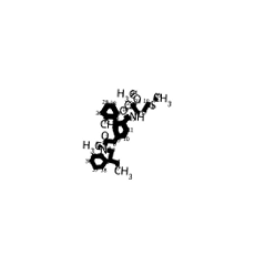 CCCC[N+](C)(C(=O)Cc1ccc(C(=O)N[C@@H](CCSC)C(=O)OC)c(-c2ccccc2C)c1)C1CCCCC1